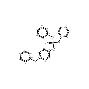 O=P(Oc1ccccc1)(Oc1ccccc1)Oc1ccc(Cc2ccccc2)cc1